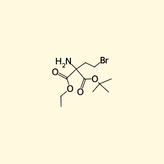 CCOC(=O)C(N)(CCBr)C(=O)OC(C)(C)C